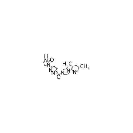 Cc1cnc(N2CCN(C(=O)c3ccc(N4CCNC4=O)nn3)CC2)c(C)c1